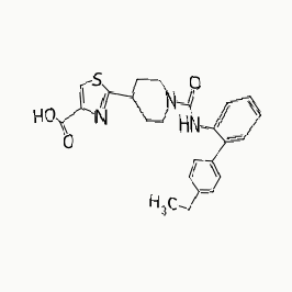 CCc1ccc(-c2ccccc2NC(=O)N2CCC(c3nc(C(=O)O)cs3)CC2)cc1